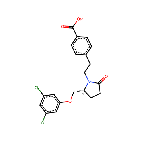 O=C(O)c1ccc(CCN2C(=O)CC[C@@H]2COc2cc(Cl)cc(Cl)c2)cc1